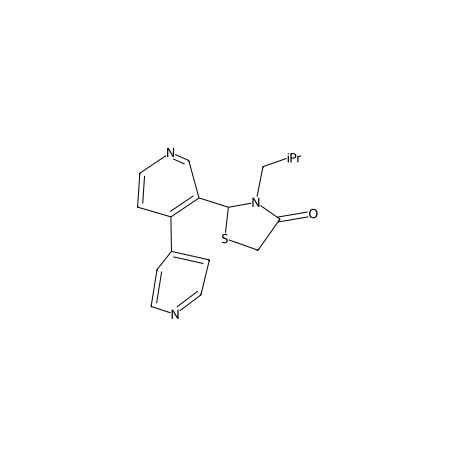 CC(C)CN1C(=O)CSC1c1cnccc1-c1ccncc1